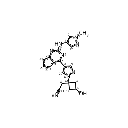 Cn1cc(Nc2nc(-c3cnn(C4(CC#N)CC(O)C4)c3)c3sccc3n2)cn1